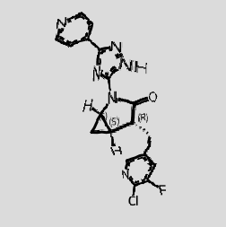 O=C1[C@H](Cc2cnc(Cl)c(F)c2)[C@@H]2C[C@@H]2N1c1nc(-c2ccncc2)n[nH]1